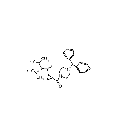 CC(C)N(C(=O)C1CC1C(=O)N1CCN(C(c2ccccc2)c2ccccc2)CC1)C(C)C